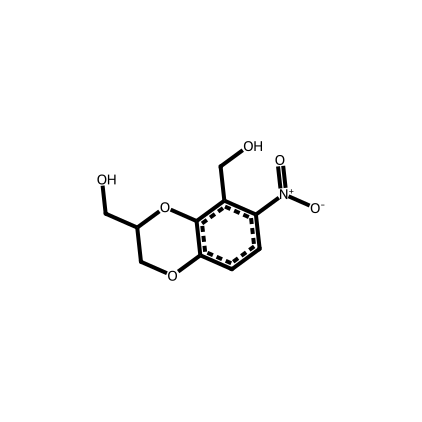 O=[N+]([O-])c1ccc2c(c1CO)OC(CO)CO2